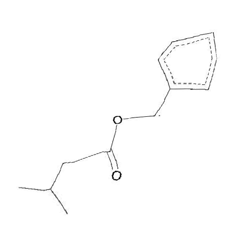 CC(C)CC(=O)O[CH]c1ccccc1